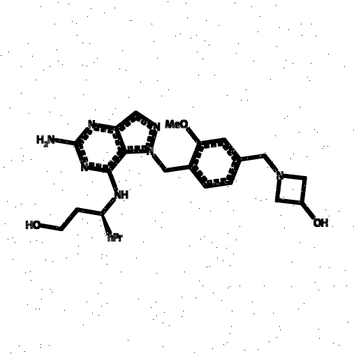 CCC[C@@H](CCO)Nc1nc(N)nc2cnn(Cc3ccc(CN4CC(O)C4)cc3OC)c12